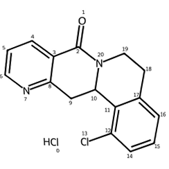 Cl.O=C1c2cccnc2CC2c3c(Cl)cccc3CCN12